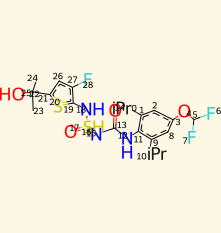 CC(C)c1cc(OC(F)F)cc(C(C)C)c1NC(=O)/N=[SH](=O)\Nc1sc(C(C)(C)O)cc1F